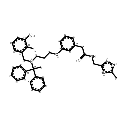 Cc1nnc(CNC(=O)Cc2cccc(OCCCN(Cc3cccc(C(F)(F)F)c3Cl)C(C)(c3ccccc3)c3ccccc3)c2)[nH]1